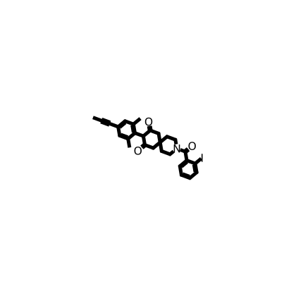 CC#Cc1cc(C)c(C2C(=O)CC3(CCN(C(=O)c4ccccc4I)CC3)CC2=O)c(C)c1